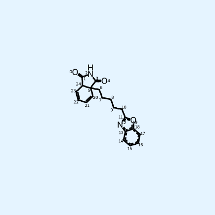 O=C1NC(=O)C2(CCCCCc3nc4ccccc4o3)C=CC=CC12